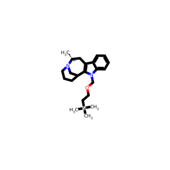 C[C@@H]1Cc2c(n(COCC[Si](C)(C)C)c3ccccc23)C2CCCN1C2